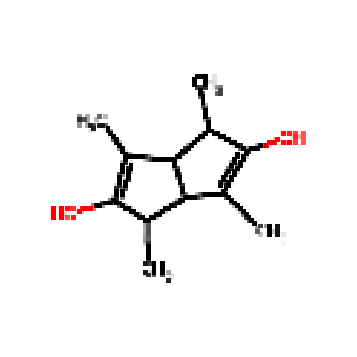 CC1=C(O)C(C)C2C(C)=C(O)C(C)C12